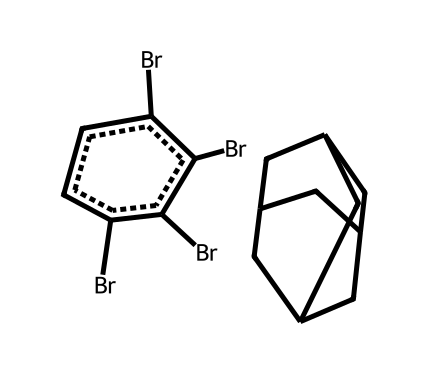 Brc1ccc(Br)c(Br)c1Br.C1C2CC3CC1CC(C2)C3